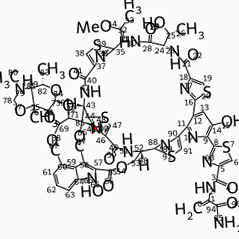 C=C(NC(=O)c1csc(-c2nc3c(cc2O)-c2nc(cs2)C(=O)N[C@@H]([C@@H](C)O)C(=O)N/C(=C(\C)OC)c2nc(cs2)C(=O)N[C@@H]2c4nc(cs4)C(=O)N[C@@H](COC(=O)c4c5c6c(cccc6n4O)COC(=O)[C@@H](O[C@H]4C[C@]6(C)OCN(C)[C@@H]6[C@H](C)O4)[C@H]2OC5)c2nc-3cs2)n1)C(N)=O